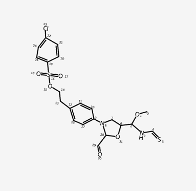 COC(NC=S)C1CN(c2ccc(CCOS(=O)(=O)c3ccc(Cl)cc3)cc2)C(C=O)O1